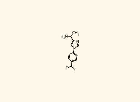 C[C@H](N)c1cn(-c2ccc(C(F)F)cc2)cn1